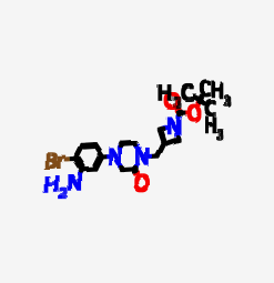 CC(C)(C)OC(=O)N1CC(CN2CCN(c3ccc(Br)c(N)c3)CC2=O)C1